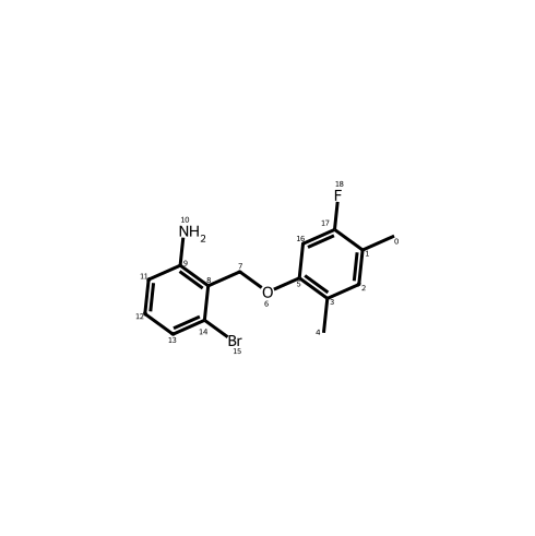 Cc1cc(C)c(OCc2c(N)cccc2Br)cc1F